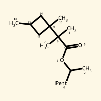 CCCC(C)C(C)OC(=O)C(C)(C)C1(C)CC(C)C1